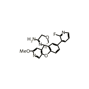 COc1cc2c(cn1)Oc1ccc(-c3cccnc3F)cc1[C@@]21COCC(N)=N1